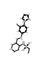 CCS(=O)(=O)NC1CCOCC1COc1ccc(-n2cccn2)c(C)c1